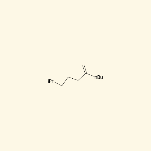 [CH2]CCCC(=C)CCCC(C)C